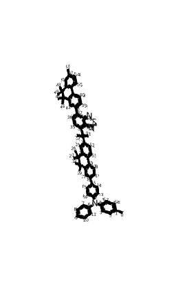 Cc1ccc(N(c2ccccc2)c2ccc(-c3ccc4c(c3)C(C)(C)C(C)(C)c3cc(C(C)(C)c5ccc(-c6ccc7c(c6)C(C)(C)C(C)(C)c6cc(C)ccc6-7)c6nsnc56)ccc3-4)cc2)cc1